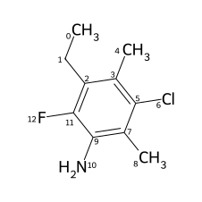 CCc1c(C)c(Cl)c(C)c(N)c1F